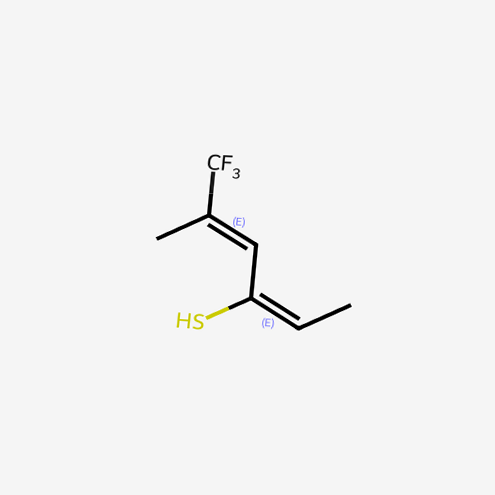 C/C=C(S)\C=C(/C)C(F)(F)F